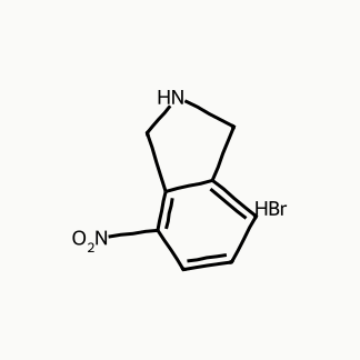 Br.O=[N+]([O-])c1cccc2c1CNC2